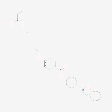 C=C(C)C(=O)OCCCCCCOc1ccc(C(=O)Oc2ccc(-c3nc4ccccc4o3)cc2)cc1